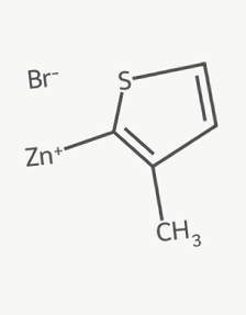 Cc1ccs[c]1[Zn+].[Br-]